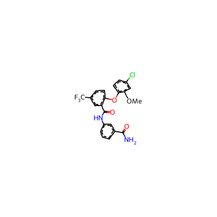 COc1cc(Cl)ccc1Oc1ccc(C(F)(F)F)cc1C(=O)Nc1cccc(C(N)=O)c1